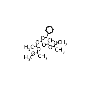 COC(C)OC(C)OC(OCc1ccccc1)OC(C)OC(C)OC